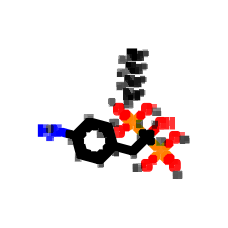 Nc1ccc(CC(O)(P(=O)([O-])[O-])P(=O)([O-])[O-])cc1.[Na+].[Na+].[Na+].[Na+]